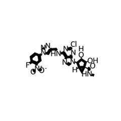 CNC(=O)[C@@]12C[C@@H]1[C@@H](n1cnc3c(NCc4cn(-c5ccc(F)c([N+](=O)[O-])c5)nn4)nc(Cl)nc31)[C@H](O)[C@@H]2O